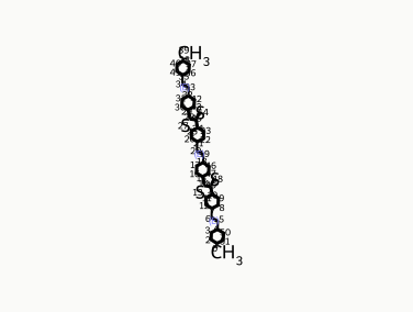 Cc1ccc(/C=C/c2ccc3c(c2)sc2c4ccc(/C=C/c5ccc6c(c5)sc5c7ccc(/C=C/c8ccc(C)cc8)cc7sc65)cc4sc32)cc1